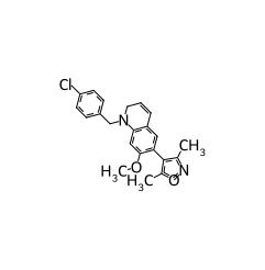 COc1cc2c(cc1-c1c(C)noc1C)C=CCN2Cc1ccc(Cl)cc1